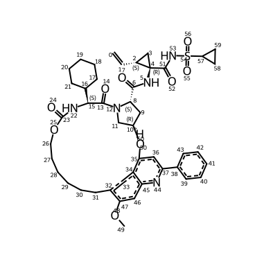 C=C[C@@H]1C[C@]1(NC(=O)[C@@H]1C[C@@H]2CN1C(=O)[C@H](C1CCCCC1)NC(=O)OCCCCCCc1cc3c(cc(-c4ccccc4)nc3cc1OC)O2)C(=O)NS(=O)(=O)C1CC1